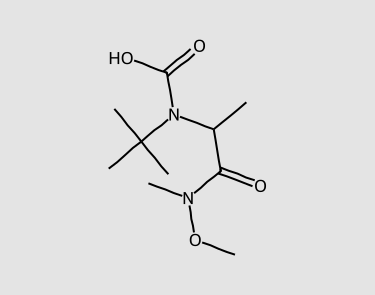 CON(C)C(=O)C(C)N(C(=O)O)C(C)(C)C